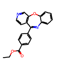 CCOC(=O)c1ccc(C2=Nc3ccccc3Oc3cnccc32)cc1